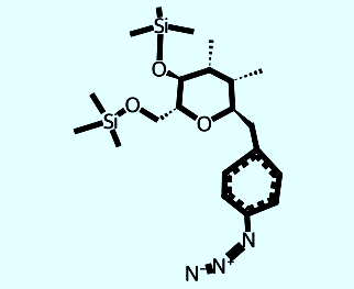 C[C@@H]1[C@H](C)[C@@H](Cc2ccc(N=[N+]=[N-])cc2)O[C@H](CO[Si](C)(C)C)[C@H]1O[Si](C)(C)C